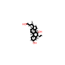 CC[C@@H]1[C@H](O)[C@@H]2[C@H](CC[C@]3(C)[C@@H]([C@H](C)CCO)CC[C@@H]23)[C@@]2(C)CC[C@@H](O)C[C@@H]12